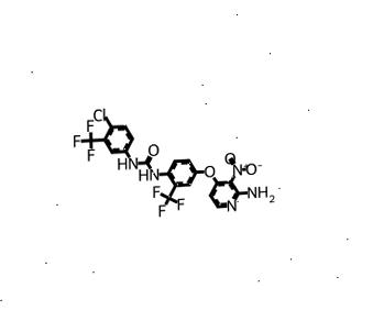 Nc1nccc(Oc2ccc(NC(=O)Nc3ccc(Cl)c(C(F)(F)F)c3)c(C(F)(F)F)c2)c1[N+](=O)[O-]